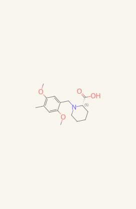 COc1cc(CN2CCCC[C@H]2C(=O)O)c(OC)cc1C